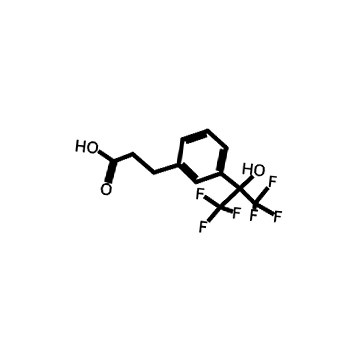 O=C(O)CCc1cccc(C(O)(C(F)(F)F)C(F)(F)F)c1